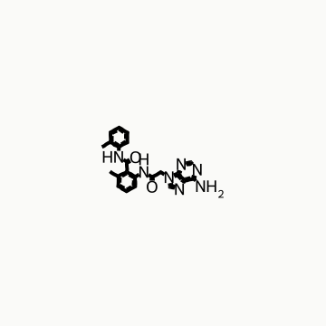 Cc1ccccc1NC(=O)c1c(C)cccc1NC(=O)Cn1cnc2c(N)ncnc21